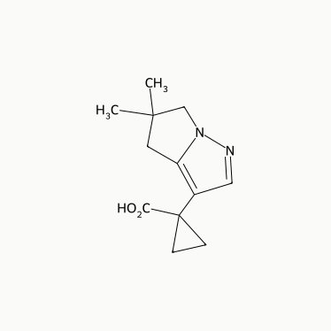 CC1(C)Cc2c(C3(C(=O)O)CC3)cnn2C1